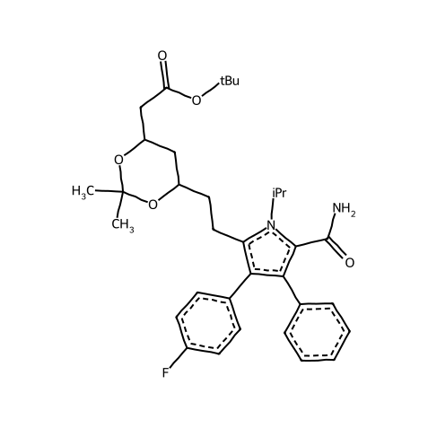 CC(C)n1c(CCC2CC(CC(=O)OC(C)(C)C)OC(C)(C)O2)c(-c2ccc(F)cc2)c(-c2ccccc2)c1C(N)=O